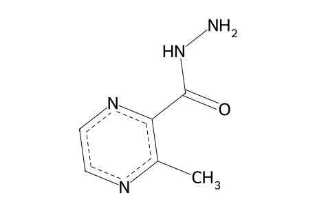 Cc1nccnc1C(=O)NN